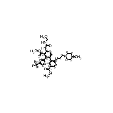 CCNC(=O)Nc1ncc(-c2cc(C(=O)OC)cnc2OCCN2CCN(C)CC2)c(-c2nc(C(F)(F)F)cs2)c1C(=O)OC